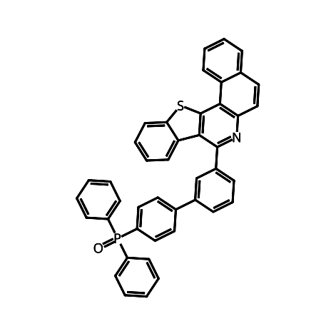 O=P(c1ccccc1)(c1ccccc1)c1ccc(-c2cccc(-c3nc4ccc5ccccc5c4c4sc5ccccc5c34)c2)cc1